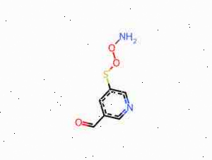 NOOSc1cncc(C=O)c1